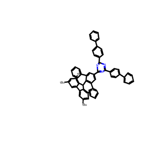 CC(C)(C)c1cc2c(c(C(C)(C)C)c1)C(c1c(-c3ccccc3)cc(-c3nc(-c4ccc(-c5ccccc5)cc4)nc(-c4ccc(-c5ccccc5)cc4)n3)cc1-c1ccccc1)c1c-2cc(C(C)(C)C)cc1C(C)(C)C